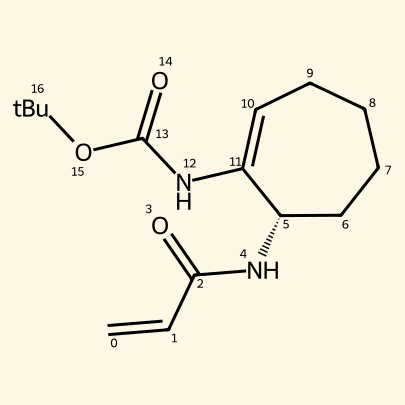 C=CC(=O)N[C@H]1CCCCC=C1NC(=O)OC(C)(C)C